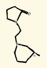 C[C@H]1CCCN(CCN2CCCC2=O)C1